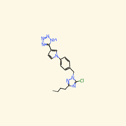 CCCCc1nc(Cl)n(Cc2ccc(-n3ccc(-c4nnn[nH]4)c3)cc2)n1